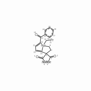 COC(=O)C1(C(=O)OC)CC[N+]2(CC(C)C)C(C(=O)c3ccccc3)=CC=C12